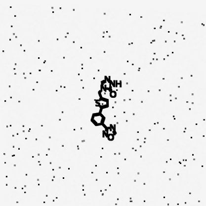 O=c1[nH]ncn1Cc1ccc(-c2cccc(-c3ncon3)c2)s1